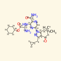 CC1(C)CC(=O)c2c(CC3CC3)nn(-c3cnc(C(N)=O)c(NC(N)C(=O)OC4CCCCC4)n3)c2C1